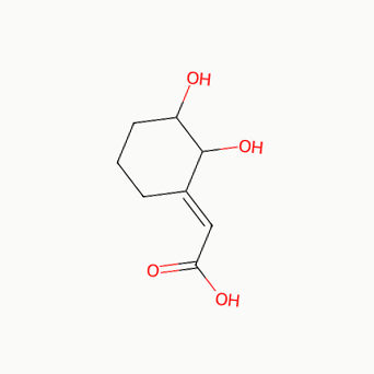 O=C(O)C=C1CCCC(O)C1O